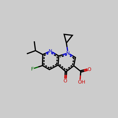 CC(C)c1nc2c(cc1F)c(=O)c(C(=O)O)cn2C1CC1